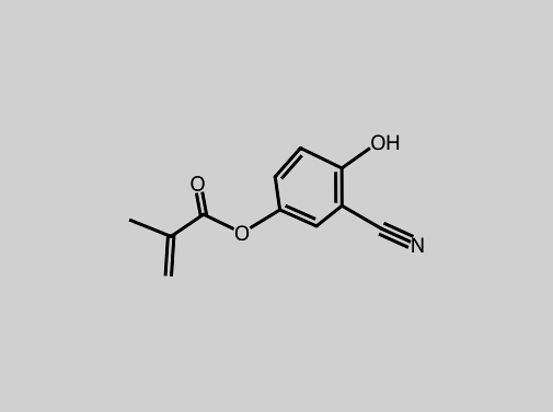 C=C(C)C(=O)Oc1ccc(O)c(C#N)c1